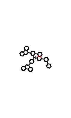 c1ccc(-c2cccc(-c3ccc(N(c4ccc(-c5cc6ccccc6c6ccccc56)cc4)c4cc(-c5cc6ccccc6c6ccccc56)ccc4-c4ccccc4)cc3)c2)cc1